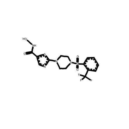 O=C(NO)c1cnc(N2CCN(S(=O)(=O)c3ccccc3C(F)(F)F)CC2)s1